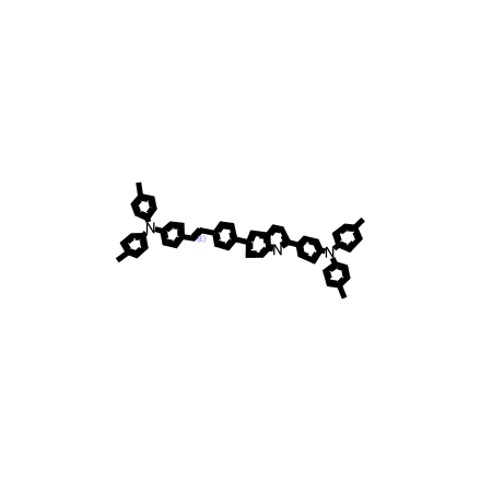 Cc1ccc(N(c2ccc(C)cc2)c2ccc(/C=C/c3ccc(-c4ccc5nc(-c6ccc(N(c7ccc(C)cc7)c7ccc(C)cc7)cc6)ccc5c4)cc3)cc2)cc1